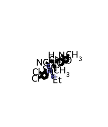 C=N\C(C#N)=C(Sc1cccc(Cl)c1Cl)/C(=N/C=C/CC)N(C)CN1CCC2(CC1)COC(C)C2N